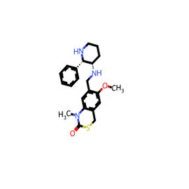 COc1cc2c(cc1CN[C@H]1CCCN[C@H]1c1ccccc1)N(C)C(=O)SC2